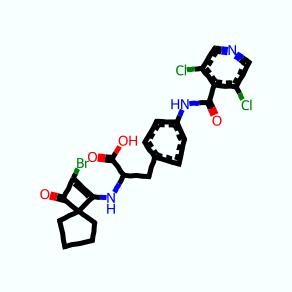 O=C(Nc1ccc(CC(NC2=C(Br)C(=O)C23CCCC3)C(=O)O)cc1)c1c(Cl)cncc1Cl